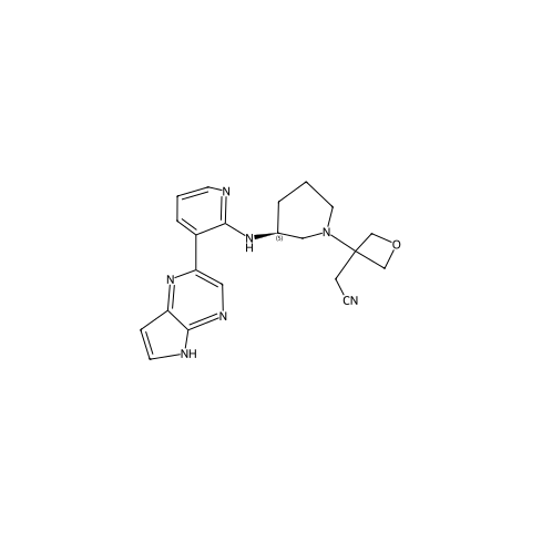 N#CCC1(N2CCC[C@H](Nc3ncccc3-c3cnc4[nH]ccc4n3)C2)COC1